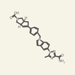 Cc1nc(C(N)=O)nn1-c1ccc2c(ccn2Cc2ccc(C3=C[C@@H]4CN(C(=O)O)C[C@@H]4C3)cc2)c1